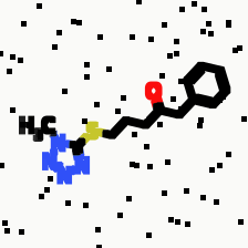 Cn1nnnc1SCCCC(=O)Cc1ccccc1